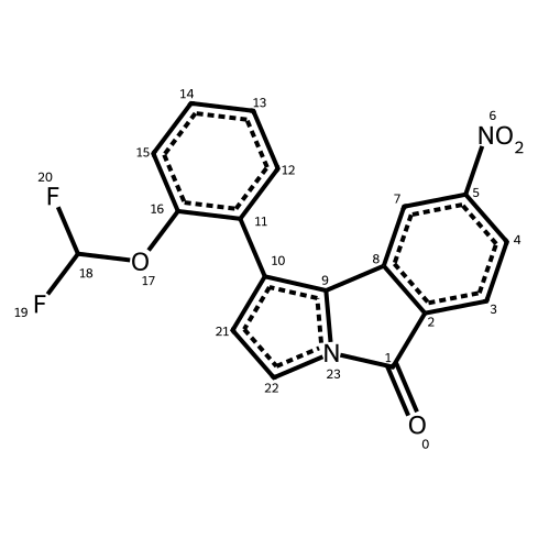 O=C1c2ccc([N+](=O)[O-])cc2-c2c(-c3ccccc3OC(F)F)ccn21